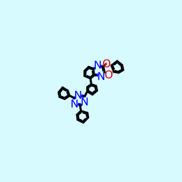 c1ccc(-c2nc(-c3ccccc3)nc(-c3cccc(-c4cccc5nc6c(nc45)Oc4ccccc4O6)c3)n2)cc1